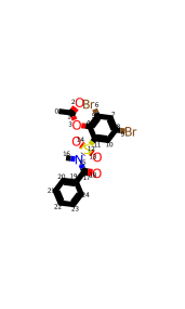 CC(=O)Oc1c(Br)cc(Br)cc1S(=O)(=O)N(C)C(=O)c1ccccc1